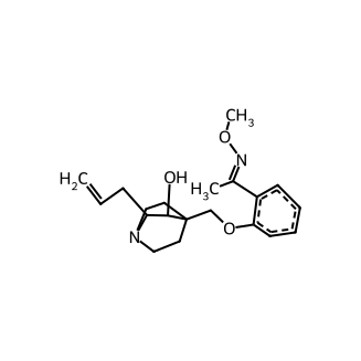 C=CCC1C(O)C2(COc3ccccc3/C(C)=N/OC)CCN1CC2